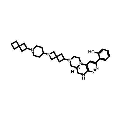 Oc1ccccc1-c1cc2c(nn1)NC[C@H]1CN(C3CC4(C3)CN(C3CCN(C5CC6(CCC6)C5)CC3)C4)CCN21